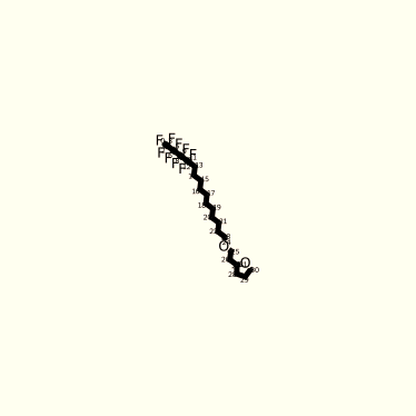 FC(F)(F)C(F)(F)C(F)(F)C(F)(F)CCCCCCCCCCCOCCC1CCCO1